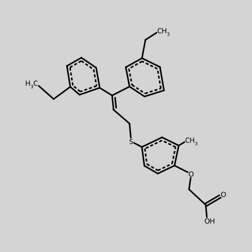 CCc1cccc(C(=CCSc2ccc(OCC(=O)O)c(C)c2)c2cccc(CC)c2)c1